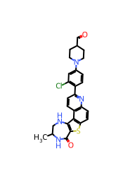 CC1CNc2c(sc3ccc4nc(-c5ccc(N6CCC(C=O)CC6)cc5Cl)ccc4c23)C(=O)N1